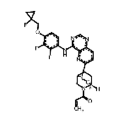 C=CC(=O)N1CC2CC[C@H]1CN2c1ccc2ncnc(Nc3ccc(OCC4(F)CC4)c(F)c3F)c2n1